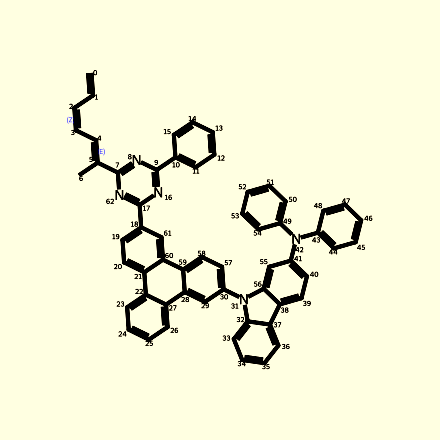 C=C/C=C\C=C(/C)c1nc(-c2ccccc2)nc(-c2ccc3c4ccccc4c4cc(-n5c6ccccc6c6ccc(N(c7ccccc7)c7ccccc7)cc65)ccc4c3c2)n1